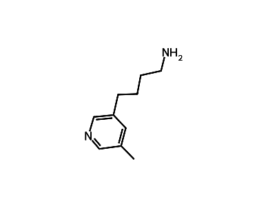 Cc1cncc(CCCCN)c1